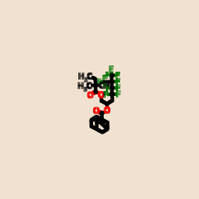 CCC(C)(C)C(=O)OCC(CC(F)(F)C(F)(F)C(F)(C(F)(F)F)C(F)(F)F)OC(=O)C12CC3CC(CC(C3)C1)C2